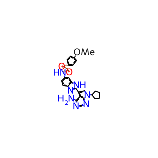 COc1ccc(S(=O)(=O)Nc2ccc3nc(-c4cn(C5CCCC5)c5ncnc(N)c45)[nH]c3c2)cc1